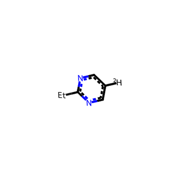 [2H]c1cnc(CC)nc1